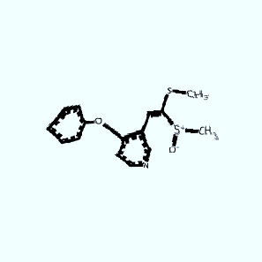 CSC(=Cc1cnccc1Oc1ccccc1)[S+](C)[O-]